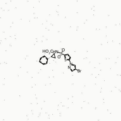 O=C(O)[C@]1(NS(=O)(=O)c2ccc(-n3cc(Br)cn3)s2)C[C@@H]1c1ccccc1